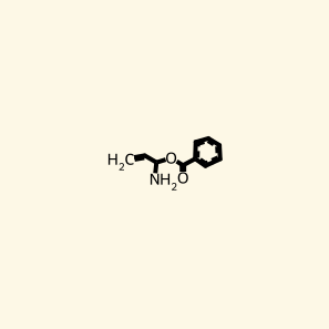 C=CC(N)OC(=O)c1ccccc1